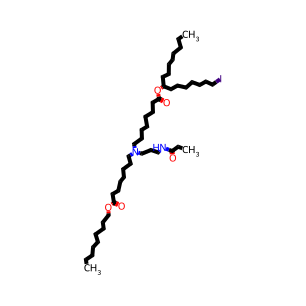 CCCCCCCCCOC(=O)CCCCCCCN(CCCCCCCC(=O)OC(CCCCCCCC)CCCCCCCI)CCCNC(=O)CC